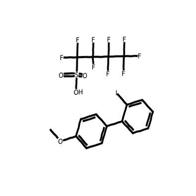 COc1ccc(-c2ccccc2I)cc1.O=S(=O)(O)C(F)(F)C(F)(F)C(F)(F)C(F)(F)F